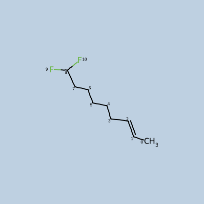 CC=CCCCCCC(F)F